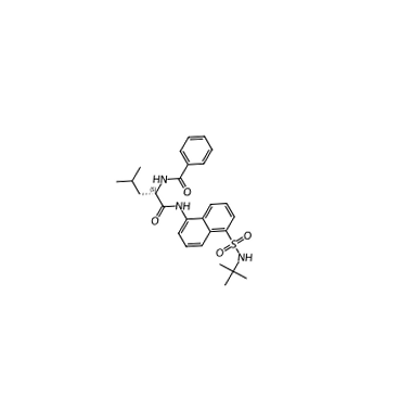 CC(C)C[C@H](NC(=O)c1ccccc1)C(=O)Nc1cccc2c(S(=O)(=O)NC(C)(C)C)cccc12